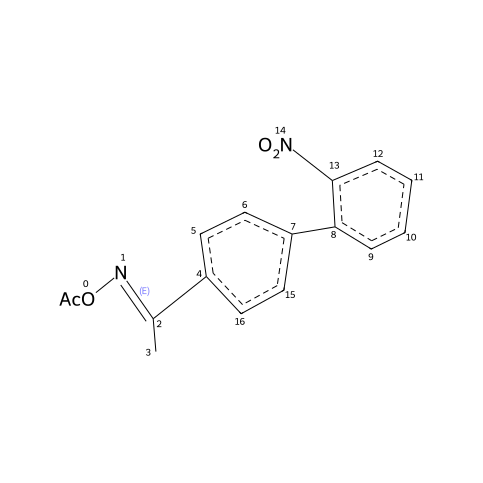 CC(=O)O/N=C(\C)c1ccc(-c2ccccc2[N+](=O)[O-])cc1